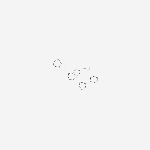 CCc1cc2c(OCc3ccccc3)cccn2c1Cc1ccccc1-c1ccccc1